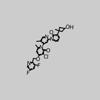 Cc1cnc(-n2cccc(C3(C)CC(O)C3)c2=O)cc1-n1c(C)cc(OCc2ncc(F)cc2F)c(Cl)c1=O